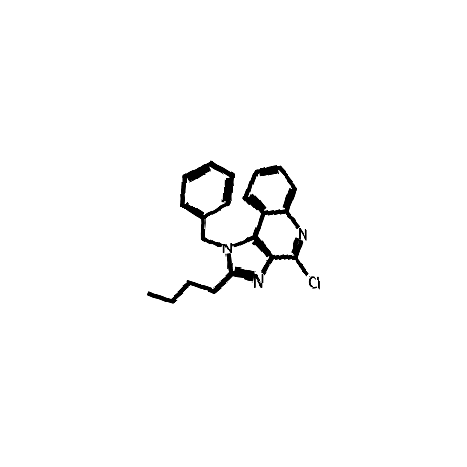 CCCCc1nc2c(Cl)nc3ccccc3c2n1Cc1ccccc1